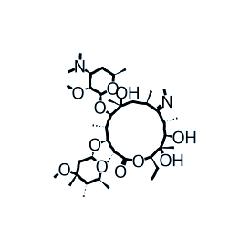 CC[C@H]1OC(=O)[C@H](C)[C@@H](O[C@H]2C[C@@](C)(OC)[C@@H](C)[C@H](C)O2)[C@H](C)[C@@H](O[C@@H]2O[C@H](C)C[C@H](N(C)C)[C@H]2OC)[C@](C)(O)C[C@@H](C)/C(=N\C)[C@H](C)[C@@H](O)[C@]1(C)O